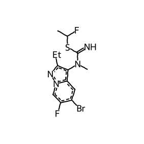 CCc1nn2cc(F)c(Br)cc2c1N(C)C(=N)SC(C)F